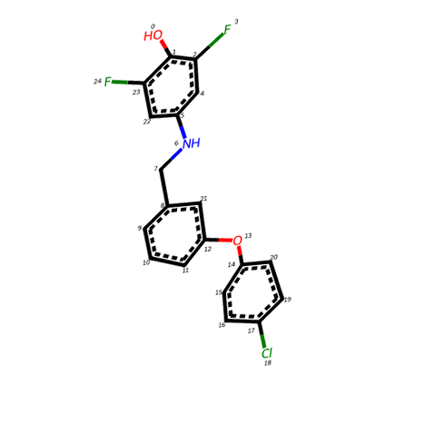 Oc1c(F)cc(NCc2cccc(Oc3ccc(Cl)cc3)c2)cc1F